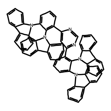 c1cc(-c2cc(-c3cccc(-n4c5ccccc5c5ccccc54)c3-n3c4ccccc4c4ccccc43)ncn2)c(-n2c3ccccc3c3ccccc32)c(-n2c3ccccc3c3ccccc32)c1